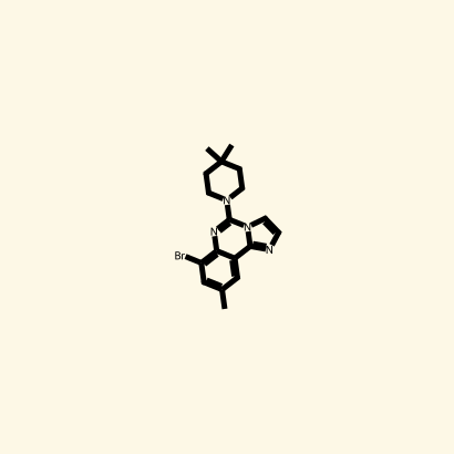 Cc1cc(Br)c2nc(N3CCC(C)(C)CC3)n3ccnc3c2c1